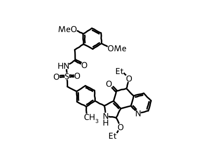 CCOC1NC(c2ccc(CS(=O)(=O)NC(=O)Cc3cc(OC)ccc3OC)cc2C)C2=C1c1ncccc1C(OCC)C2=O